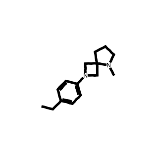 CCc1ccc(N2CC3(CCCN3C)C2)cc1